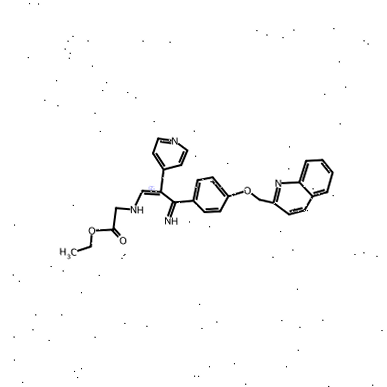 CCOC(=O)CN/C=C(\C(=N)c1ccc(OCc2ccc3ccccc3n2)cc1)c1ccncc1